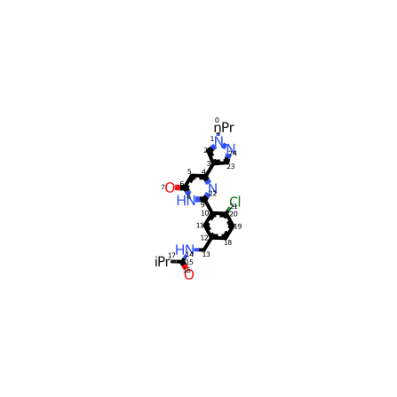 CCCn1cc(-c2cc(=O)[nH]c(-c3cc(CNC(=O)C(C)C)ccc3Cl)n2)cn1